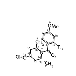 COc1ccc(C(=O)N2[C@H](C)CN(C=O)C[C@H]2C)c(F)c1